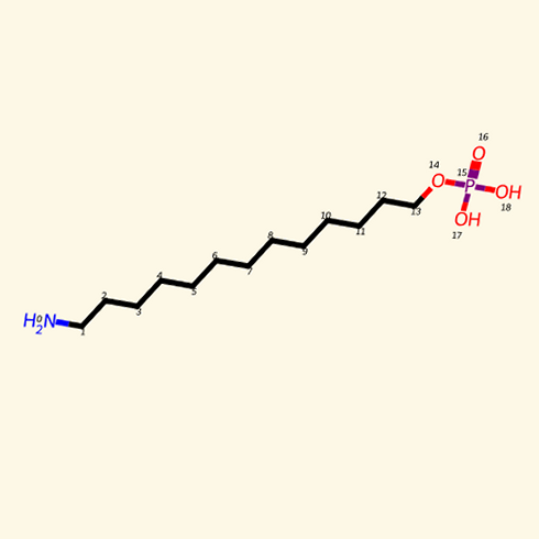 NCCCCCCCCCCCCCOP(=O)(O)O